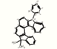 CC1(C)c2ccccc2-c2c1ccc1ccc3c(c4ccccc4n3-c3ncncn3)c21